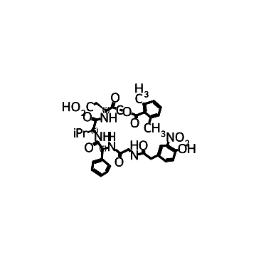 Cc1cccc(C)c1C(=O)OCC(=O)[C@H](CC(=O)O)NC(=O)[C@@H](NC(=O)[C@@H](NC(=O)CNC(=O)Cc1ccc(O)c([N+](=O)[O-])c1)c1ccccc1)C(C)C